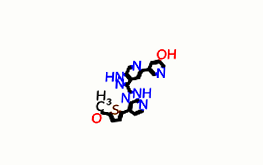 CC(=O)c1ccc(-c2ccnc3[nH]c(-c4n[nH]c5cnc(-c6cncc(O)c6)cc45)nc23)s1